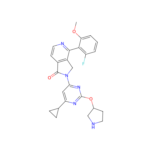 COc1cccc(F)c1-c1nccc2c1CN(c1cc(C3CC3)nc(OC3CCNC3)n1)C2=O